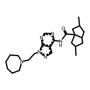 CC1CC2CC(C)CC2(C(=O)Nc2ncnc3c2cnn3CCN2CCCCCC2)C1